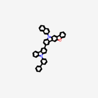 c1ccc(-c2cccc(-n3c4ccccc4c4cc(-c5ccc6c(c5)c5cc7oc8ccccc8c7cc5n6-c5ccc6ccccc6c5)ccc43)c2)cc1